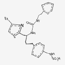 CCc1csc(C(Cc2ccc(NS(=O)(=O)O)cc2)NC(=O)NCc2ccccc2)n1